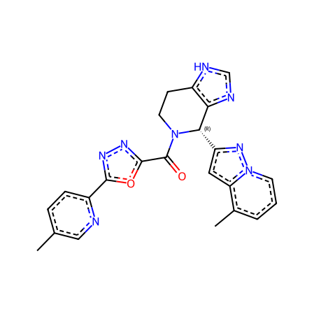 Cc1ccc(-c2nnc(C(=O)N3CCc4[nH]cnc4[C@@H]3c3cc4c(C)cccn4n3)o2)nc1